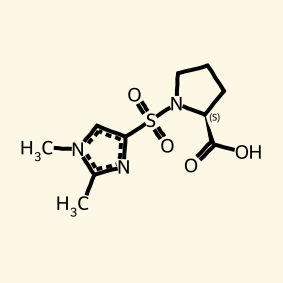 Cc1nc(S(=O)(=O)N2CCC[C@H]2C(=O)O)cn1C